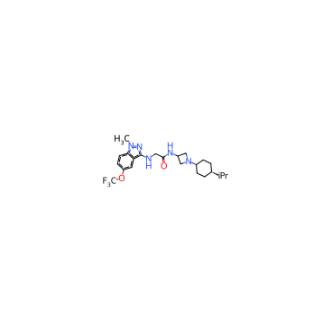 CC(C)[C@H]1CC[C@@H](N2CC(NC(=O)CNc3nn(C)c4ccc(OC(F)(F)F)cc34)C2)CC1